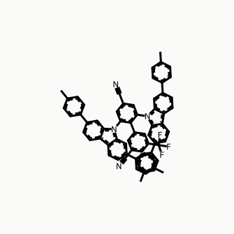 Cc1ccc(-c2ccc3c4ccc(-c5ccc(C)cc5)cc4n(-c4cc(C#N)cc(-n5c6cc(-c7ccc(C)cc7)ccc6c6ccc(-c7ccc(C)cc7)cc65)c4-c4cc(C#N)cc(C(F)(F)F)c4)c3c2)cc1